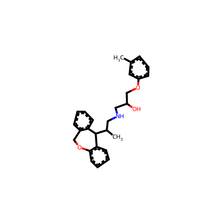 Cc1cccc(OCC(O)CNCC(C)C2c3ccccc3COc3ccccc32)c1